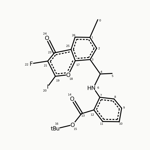 Cc1cc(C(C)Nc2ccccc2C(=O)OC(C)(C)C)c2oc(I)c(F)c(=O)c2c1